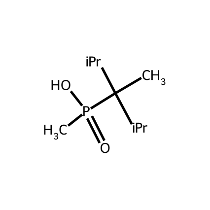 CC(C)C(C)(C(C)C)P(C)(=O)O